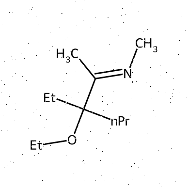 CCCC(CC)(OCC)C(C)=NC